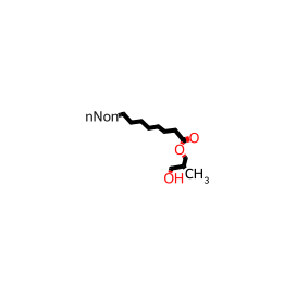 CCCCCCCCCCCCCCCCC(=O)OCC(C)CO